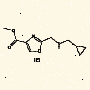 COC(=O)c1coc(CNCC2CC2)n1.Cl